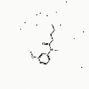 [CH2]N(C(=O)CCCC)c1cccc(OC)c1